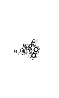 CC1(C)OC2[C@@H](O1)O[C@](CCCO)(COCc1ccccc1)[C@@H]2OCc1ccccc1